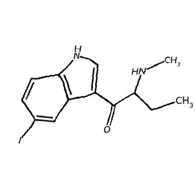 CCC(NC)C(=O)c1c[nH]c2ccc(I)cc12